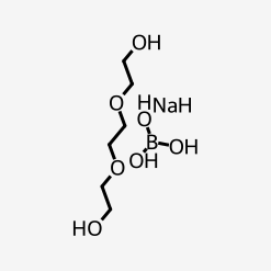 OB(O)O.OCCOCCOCCO.[NaH]